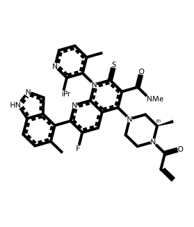 C=CC(=O)N1CCN(c2c(C(=O)NC)c(=S)n(-c3c(C)ccnc3C(C)C)c3nc(-c4c(C)ccc5[nH]ncc45)c(F)cc23)C[C@H]1C